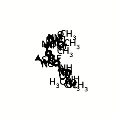 COC(=O)NC(C(=O)N1CCC[C@H]1c1ncc(-c2cc(F)c3c(c2)OC(c2ncc(C4CC4)s2)n2c-3cc3cc(-c4cnc([C@@H]5CCCN5C(=O)C(NC(=O)OC)C5C=C(C)O[C@@H](C)C5)[nH]4)ccc32)[nH]1)C(C)C